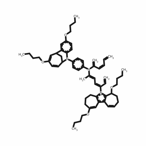 C=C/C=C\C(=C)N(/C(C)=C/C=C(\C=C)n1c2c(c3c1C(OCCCC)CCC=C3)C=C(OCCCC)CCC2)c1ccc(N2c3ccc(OCCCC)cc3C3C=C(OCCCC)C=CC2C3)cc1